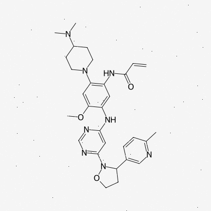 C=CC(=O)Nc1cc(Nc2cc(N3OCCC3c3ccc(C)nc3)ncn2)c(OC)cc1N1CCC(N(C)C)CC1